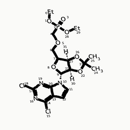 CCOP(=O)(COCC1O[C@@H](n2ccc3c(Cl)nc(Cl)nc32)[C@@H]2OC(C)(C)O[C@H]12)OCC